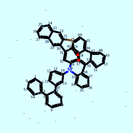 c1ccc(-c2ccccc2-c2cccc(N(c3ccc4sc5cc6ccccc6cc5c4c3)c3ccccc3-c3cc4ccccc4c4ccccc34)c2)cc1